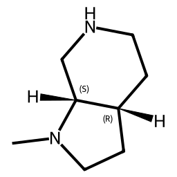 CN1CC[C@H]2CCNC[C@H]21